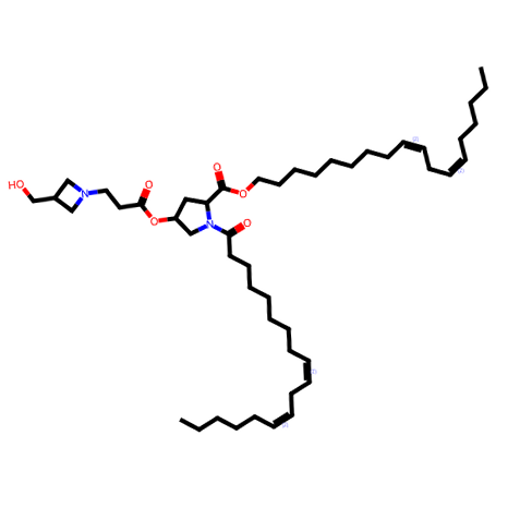 CCCCC/C=C\C/C=C\CCCCCCCCOC(=O)C1CC(OC(=O)CCN2CC(CO)C2)CN1C(=O)CCCCCCC/C=C\C/C=C\CCCCC